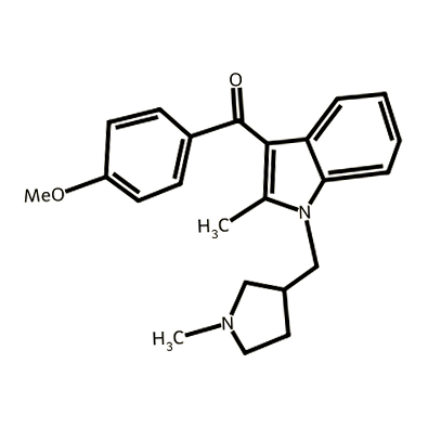 COc1ccc(C(=O)c2c(C)n(CC3CCN(C)C3)c3ccccc23)cc1